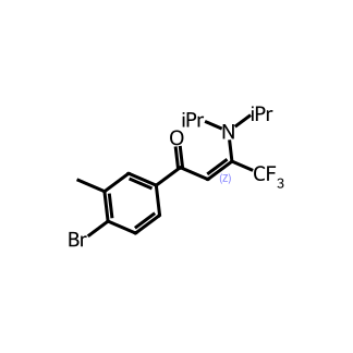 Cc1cc(C(=O)/C=C(\N(C(C)C)C(C)C)C(F)(F)F)ccc1Br